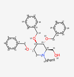 CCCCCN1C[C@H](OCc2ccccc2)[C@@H](OCc2ccccc2)[C@H](OCc2ccccc2)[C@H]1CO